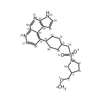 COCC1CCN(S(=O)(=O)CC2CCC(c3cnnc4cnc5[nH]ccc5c34)CC2)C1